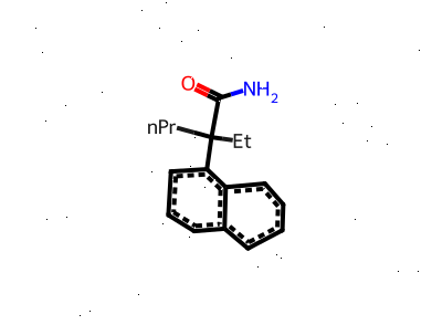 CCCC(CC)(C(N)=O)c1cccc2ccccc12